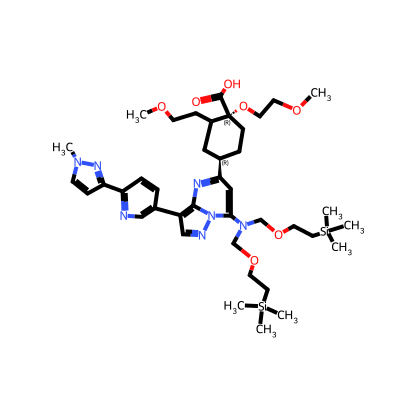 COCCO[C@]1(C(=O)O)CC[C@@H](c2cc(N(COCC[Si](C)(C)C)COCC[Si](C)(C)C)n3ncc(-c4ccc(-c5ccn(C)n5)nc4)c3n2)CC1CCOC